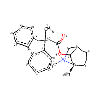 CN1CC2CC[C@H]1C2OC(=O)C(C)(c1ccccc1)c1ccccc1